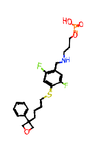 O=[PH](O)OCCCNCc1cc(F)c(SCCCCC2(c3ccccc3)COC2)cc1F